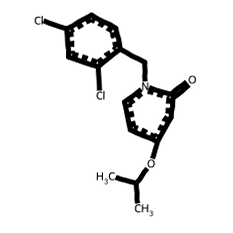 CC(C)Oc1ccn(Cc2ccc(Cl)cc2Cl)c(=O)c1